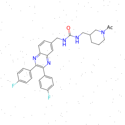 CC(=O)N1CCCC(CNC(=O)NCc2ccc3nc(-c4ccc(F)cc4)c(-c4ccc(F)cc4)nc3c2)C1